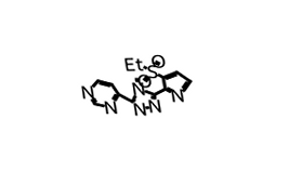 CCS(=O)(=O)c1cccnc1-c1nnc(-c2ccncn2)n1C